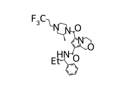 CC[C@@H](NC(=O)c1cc(C(=O)N2CCN(CCC(F)(F)F)C[C@@H]2C)n2c1COCC2)c1ccccc1